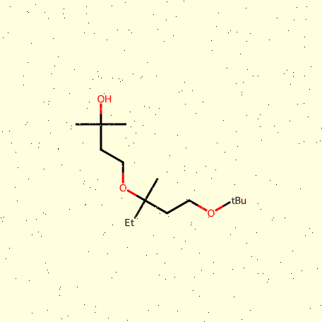 CCC(C)(CCOC(C)(C)C)OCCC(C)(C)O